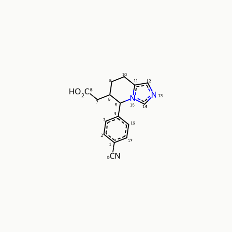 N#Cc1ccc(C2C(CC(=O)O)CCc3cncn32)cc1